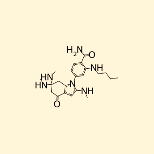 CCCCNc1cc(-n2c(NC)cc3c2CC(NC)(NC)CC3=O)ccc1C(N)=O